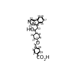 O=C(O)c1ccc(CO[C@H]2CC[C@H](C(O)CC3c4ccccc4-c4cncn43)CC2)cc1